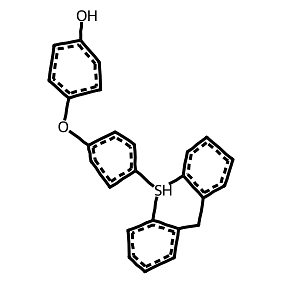 Oc1ccc(Oc2ccc([SH]3c4ccccc4Cc4ccccc43)cc2)cc1